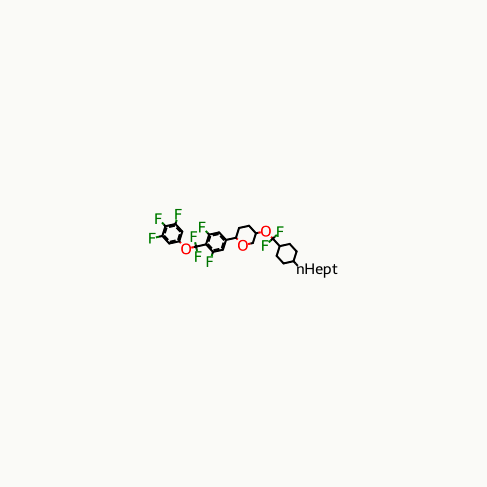 CCCCCCCC1CCC(C(F)(F)OC2CCC(c3cc(F)c(C(F)(F)Oc4cc(F)c(F)c(F)c4)c(F)c3)OC2)CC1